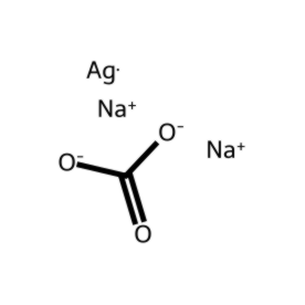 O=C([O-])[O-].[Ag].[Na+].[Na+]